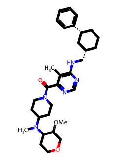 COC1COCCC1N(C)C1CCN(C(=O)c2ncnc(NC[C@H]3CCC[C@@H](c4ccccc4)C3)c2C)CC1